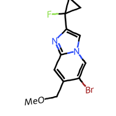 COCc1cc2nc(C3(F)CC3)cn2cc1Br